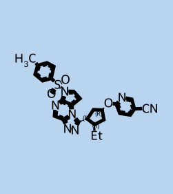 CC[C@@H]1C[C@@H](Oc2ccc(C#N)cn2)C[C@H]1c1nnc2cnc3c(ccn3S(=O)(=O)c3ccc(C)cc3)n12